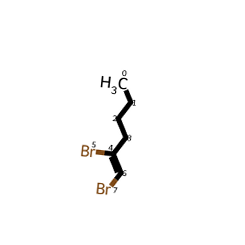 CCCCC(Br)=CBr